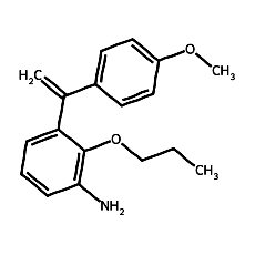 C=C(c1ccc(OC)cc1)c1cccc(N)c1OCCC